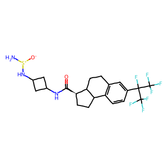 N[S+]([O-])NC1CC(NC(=O)[C@@H]2CCC3c4ccc(C(F)(C(F)(F)F)C(F)(F)F)cc4CCC32)C1